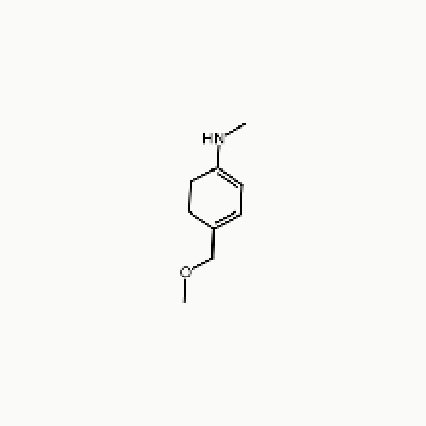 CNC1=CC=C(COC)CC1